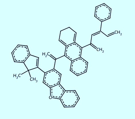 C=C/C(=C\C(=C)c1c2c(c(C(=C)c3cc4c(cc3C3=Cc5ccccc5C3(C)C)oc3ccccc34)c3ccccc13)=CCCC=2)c1ccccc1